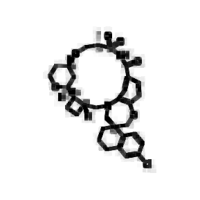 C[C@H]1CO[C@H]2CCO[C@H](C2)[C@@H]2CC[C@H]2CN2C[C@@]3(CCCc4cc(Cl)ccc43)COc3ccc(cc32)C(=O)NS1(=O)=O